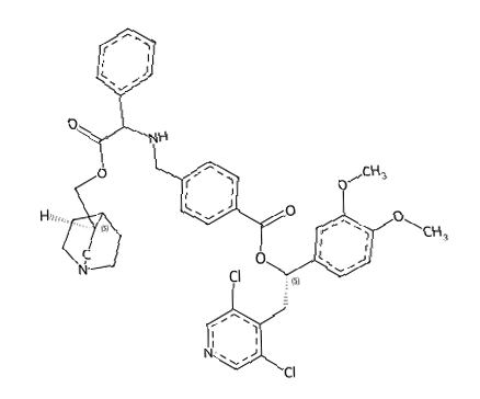 COc1ccc([C@H](Cc2c(Cl)cncc2Cl)OC(=O)c2ccc(CNC(C(=O)OC[C@@H]3CN4CCC3CC4)c3ccccc3)cc2)cc1OC